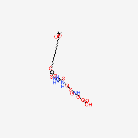 CC(C)(C)OC(=O)CCCCCCCCCCCCCCCCCOc1ccc(S(=O)(=O)Nc2ncc(C(=O)NCCOCCOCC(=O)NCCOCCOCC(=O)O)cn2)cc1